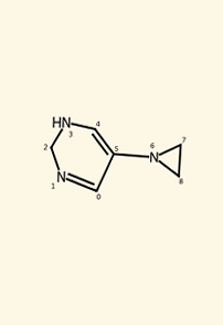 C1=NCNC=C1N1CC1